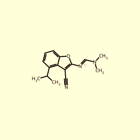 CC(C)c1cccc2oc(/N=C/N(C)C)c(C#N)c12